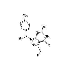 CC(C)C(c1ccc(C(C)(C)C)cc1)n1nc(CF)c2c(=O)[nH]c(O)nc21